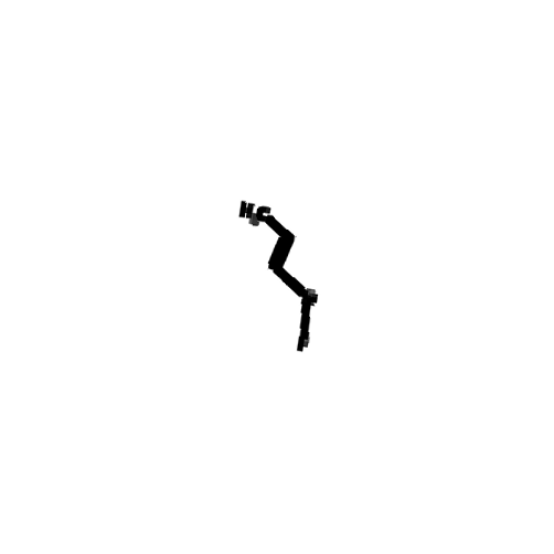 CC=C[Si]F